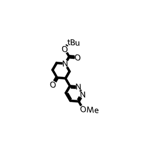 COc1ccc(C2CN(C(=O)OC(C)(C)C)CCC2=O)nn1